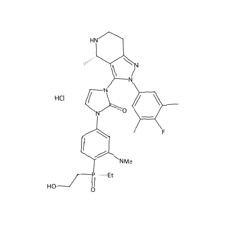 CC[P@](=O)(CCO)c1ccc(-n2ccn(-c3c4c(nn3-c3cc(C)c(F)c(C)c3)CCN[C@H]4C)c2=O)cc1NC.Cl